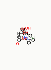 C[C@H]1C[C@H]2[C@@H]3CCC4=CC(=O)C=C[C@]4(C)[C@@]3(F)[C@@H](O)C[C@]2(C)[C@@]1(O)C(=O)CO.Clc1ccccc1C(c1ccccc1)(c1ccccc1)n1ccnc1